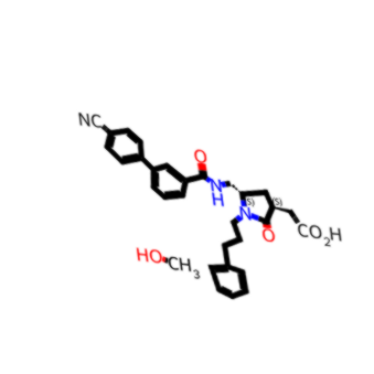 CO.N#Cc1ccc(-c2cccc(C(=O)NC[C@@H]3C[C@@H](CC(=O)O)C(=O)N3CCCc3ccccc3)c2)cc1